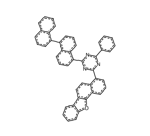 c1ccc(-c2nc(-c3cccc4c(-c5cccc6ccccc56)cccc34)nc(-c3cccc4c3ccc3c5ccccc5oc43)n2)cc1